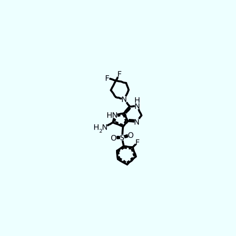 Nc1[nH]c2c(c1S(=O)(=O)c1ccccc1F)=NCNC=2N1CCC(F)(F)CC1